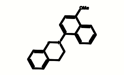 COc1ccc(N2[CH]c3ccccc3CC2)c2ccccc12